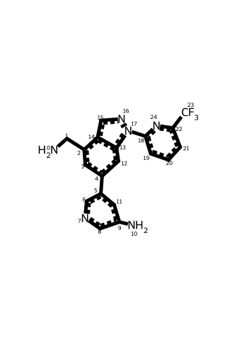 NCc1cc(-c2cncc(N)c2)cc2c1cnn2-c1cccc(C(F)(F)F)n1